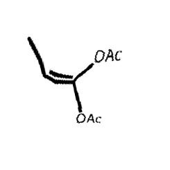 CC=C(OC(C)=O)OC(C)=O